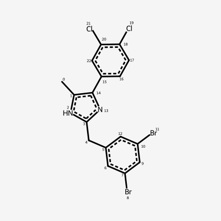 Cc1[nH]c(Cc2cc(Br)cc(Br)c2)nc1-c1ccc(Cl)c(Cl)c1